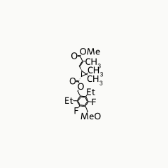 CCc1c(F)c(COC)c(F)c(CC)c1COC(=O)[C@@H]1[C@@H](/C=C(\C)C(=O)OC)C1(C)C